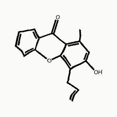 C=CCc1c(O)cc(C)c2c(=O)c3ccccc3oc12